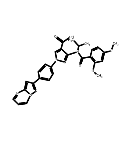 COc1ccc(C(=O)N(c2nn(-c3ccc(-c4cc5ncccn5n4)cc3)cc2C(=O)O)C(C)C)c(OC)c1